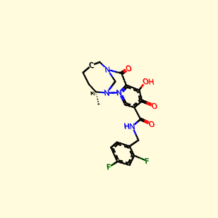 C[C@@H]1CCCCN2CN1n1cc(C(=O)NCc3ccc(F)cc3F)c(=O)c(O)c1C2=O